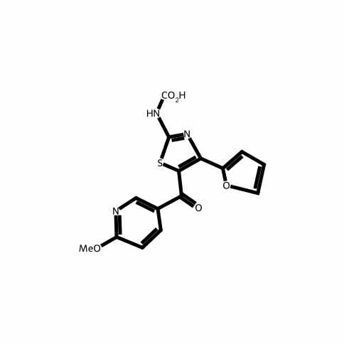 COc1ccc(C(=O)c2sc(NC(=O)O)nc2-c2ccco2)cn1